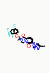 Cc1cn(-c2ccc3n(c2=O)CCN([C@@H](C)COc2ccc(F)c4c2C(F)(F)C(F)(F)C4)C3=O)cn1